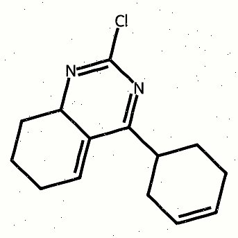 ClC1=NC2CCCC=C2C(C2CC=CCC2)=N1